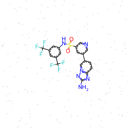 Nc1nc2ccc(-c3cncc(S(=O)(=O)Nc4cc(C(F)(F)F)cc(C(F)(F)F)c4)c3)cn2n1